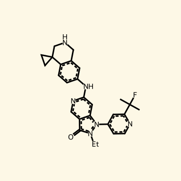 CCn1c(=O)c2cnc(Nc3ccc4c(c3)CNCC43CC3)cc2n1-c1ccnc(C(C)(C)F)c1